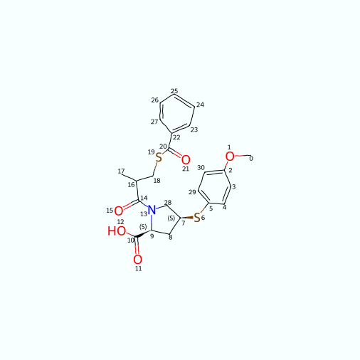 COc1ccc(S[C@H]2C[C@@H](C(=O)O)N(C(=O)C(C)CSC(=O)c3ccccc3)C2)cc1